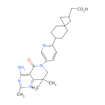 Cc1nc(N)c2c(n1)C(C)(C)CN(c1ccc(C3CCC4(CC3)CC(CC(=O)O)C4)nc1)C2=O